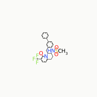 CS(=O)(=O)NC1CCc2ccc(C(F)(F)F)c(=O)n2C1Cc1cccc(-c2ccccc2)c1